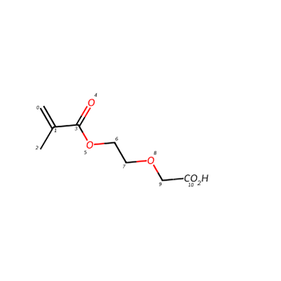 C=C(C)C(=O)OCCOCC(=O)O